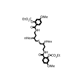 CCCCCCC(CCNC(=O)c1ccc(OC)cc1OC(=O)OCC)CSCC(CCCCCC)CCNC(=O)c1ccc(OC)cc1OC(=O)OCC